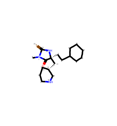 CN1C(=O)[C@](CCC2CCCCC2)(C[C@H]2CCCNC2)NC1=S